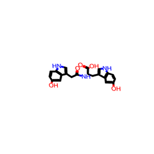 O=C(Cc1c[nH]c2ccc(O)cc12)NC(Cc1c[nH]c2ccc(O)cc12)C(=O)O